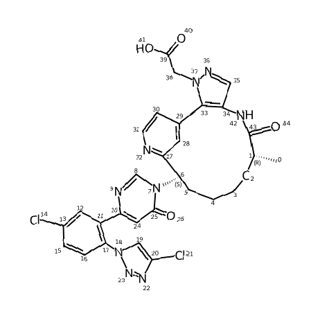 C[C@@H]1CCCC[C@H](n2cnc(-c3cc(Cl)ccc3-n3cc(Cl)nn3)cc2=O)c2cc(ccn2)-c2c(cnn2CC(=O)O)NC1=O